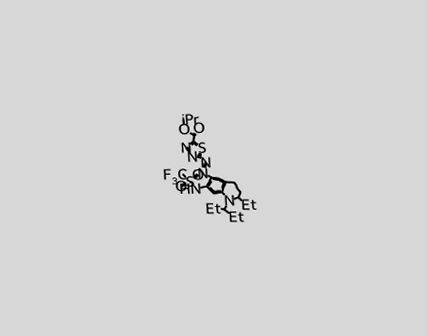 CCC(CC)N1c2cc(NS(=O)(=O)C(F)(F)F)c(N=Nc3nnc(C(=O)OC(C)C)s3)cc2CCC1CC